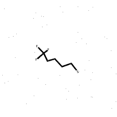 FC(F)(F)CCCC[S]